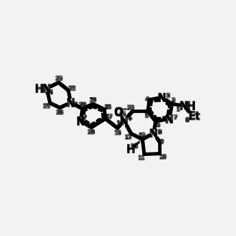 CCNc1ncc2c(n1)N1CCC[C@H]1C[N+]([O-])(Cc1ccc(N3CCNCC3)nc1)C2